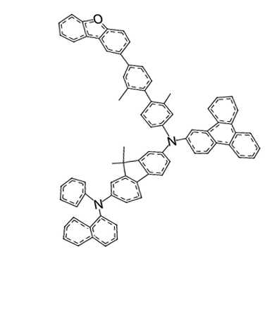 Cc1cc(-c2ccc3oc4ccccc4c3c2)ccc1-c1ccc(N(c2ccc3c(c2)C(C)(C)c2cc(N(c4ccccc4)c4cccc5ccccc45)ccc2-3)c2ccc3c4ccccc4c4ccccc4c3c2)cc1C